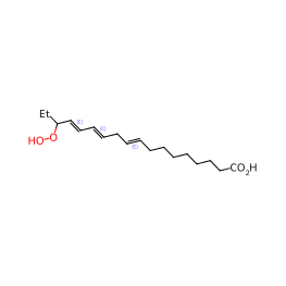 CCC(/C=C/C=C/C/C=C/CCCCCCCC(=O)O)OO